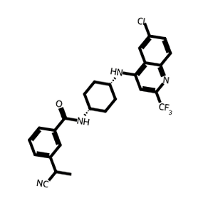 CC(C#N)c1cccc(C(=O)N[C@H]2CC[C@@H](Nc3cc(C(F)(F)F)nc4ccc(Cl)cc34)CC2)c1